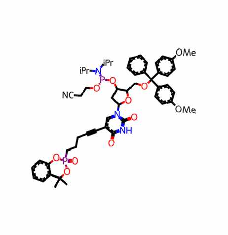 COc1ccc(C(OCC2OC(n3cc(C#CCCCP4(=O)Oc5ccccc5C(C)(C)O4)c(=O)[nH]c3=O)CC2OP(OCCC#N)N(C(C)C)C(C)C)(c2ccccc2)c2ccc(OC)cc2)cc1